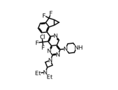 CCN(CC)C1CN(c2nc(N3CCNCC3)c3cnc(-c4cccc5c4C4CC4C5(F)F)c(C(F)(F)Cl)c3n2)C1